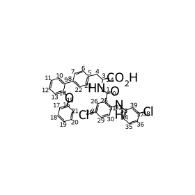 O=C(N[C@@H](Cc1ccc(-c2ccccc2Oc2ccccc2)cc1)C(=O)O)c1cc(Cl)ccc1Nc1cccc(Cl)c1